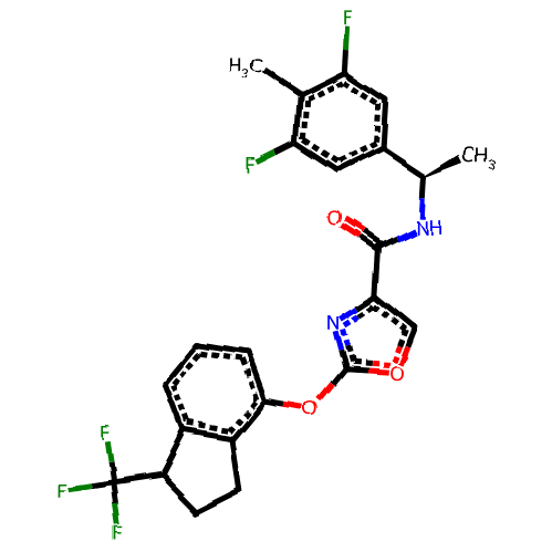 Cc1c(F)cc([C@@H](C)NC(=O)c2coc(Oc3cccc4c3CCC4C(F)(F)F)n2)cc1F